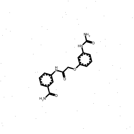 NC(=O)Nc1cccc(OCC(=O)Nc2cccc(C(N)=O)c2)c1